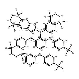 CC(C)(C)c1ccc(N(c2ccccc2)c2cc3c4c(c2)N(c2ccc5c(c2)C(C)(C)CCC5(C)C)c2c(sc5cc6c(cc25)C(C)(C)CCC6(C)C)B4c2cc4c(cc2N3c2ccc(C(C)(C)C)cc2)C(C)(C)CCC4(C)C)cc1